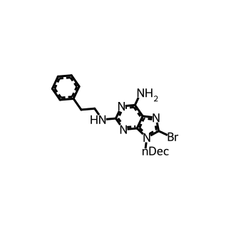 CCCCCCCCCCn1c(Br)nc2c(N)nc(NCCc3ccccc3)nc21